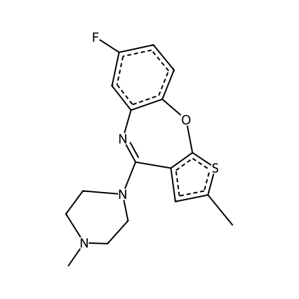 Cc1cc2c(s1)Oc1ccc(F)cc1N=C2N1CCN(C)CC1